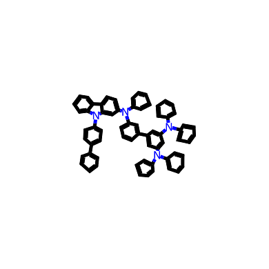 c1ccc(-c2ccc(-n3c4ccccc4c4ccc(N(c5ccccc5)c5cccc(-c6cc(N(c7ccccc7)c7ccccc7)cc(N(c7ccccc7)c7ccccc7)c6)c5)cc43)cc2)cc1